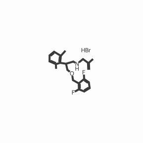 Br.C=C(C)CNCC(COCc1c(F)cccc1F)c1c(C)cccc1C